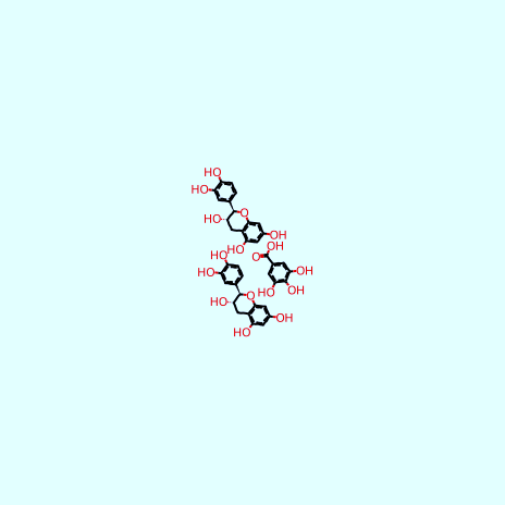 O=C(O)c1cc(O)c(O)c(O)c1.Oc1cc(O)c2c(c1)O[C@H](c1ccc(O)c(O)c1)[C@@H](O)C2.Oc1cc(O)c2c(c1)O[C@H](c1ccc(O)c(O)c1)[C@@H](O)C2